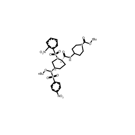 CCCCON([C@@H]1CC[C@@H](C(=O)NC2CCN(C(=O)OC(C)(C)C)CC2)N(S(=O)(=O)c2ccccc2[N+](=O)[O-])C1)S(=O)(=O)c1ccc([N+](=O)[O-])cc1